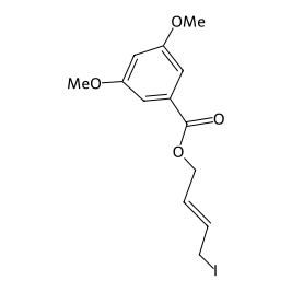 COc1cc(OC)cc(C(=O)OC/C=C/CI)c1